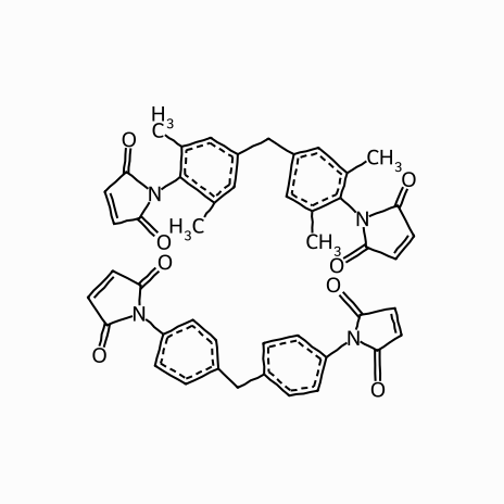 Cc1cc(Cc2cc(C)c(N3C(=O)C=CC3=O)c(C)c2)cc(C)c1N1C(=O)C=CC1=O.O=C1C=CC(=O)N1c1ccc(Cc2ccc(N3C(=O)C=CC3=O)cc2)cc1